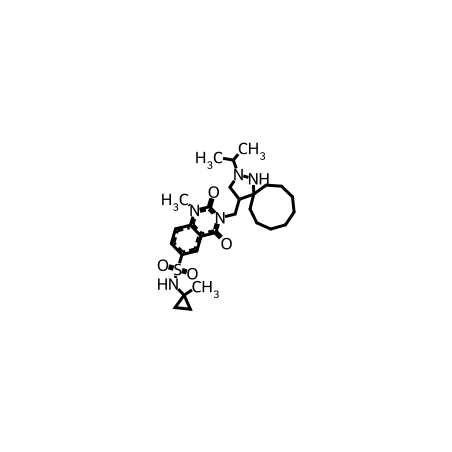 CC(C)N1CC(Cn2c(=O)c3cc(S(=O)(=O)NC4(C)CC4)ccc3n(C)c2=O)C2(CCCCCCCC2)N1